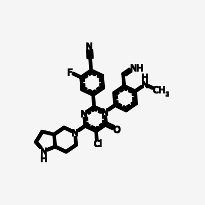 CNc1ccc(-n2c(-c3ccc(C#N)c(F)c3)nc(N3CCC4NCCC4C3)c(Cl)c2=O)cc1C=N